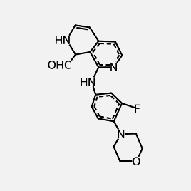 O=CC1NC=Cc2ccnc(Nc3ccc(N4CCOCC4)c(F)c3)c21